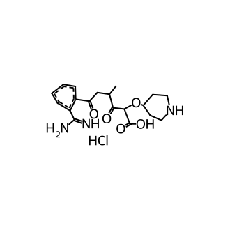 CC(CC(=O)c1ccccc1C(=N)N)C(=O)C(OC1CCNCC1)C(=O)O.Cl